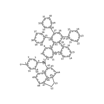 Cc1ccc(N(c2ccc3c(c2)c2ccccc2c2c(-c4ccccc4)cc(-c4ccccc4)c(-c4ccccc4)c32)c2ccc3c4c(cccc24)CC3)cc1